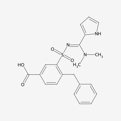 CN(C)C(=NS(=O)(=O)c1cc(C(=O)O)ccc1Cc1ccccc1)c1ccc[nH]1